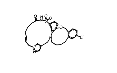 O=C1CCC/C=C/Cn2cc(cn2)CN2CCCCc3cc(Cl)ccc3COc3ccc(cc32)S(=O)(=O)N1